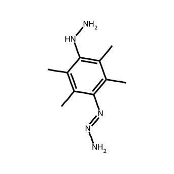 Cc1c(C)c(NN)c(C)c(C)c1N=NN